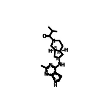 Cc1nc(N[C@@H]2C[C@@H]3CCN(C(=O)C(C)C)C[C@@H]3C2)c2cc[nH]c2n1